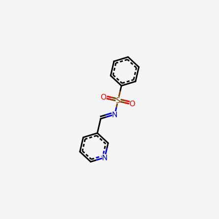 O=S(=O)(N=Cc1cccnc1)c1ccccc1